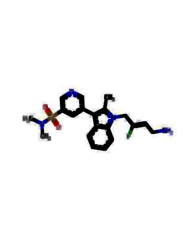 Cc1c(-c2cncc(S(=O)(=O)N(C)C)c2)c2ccccc2n1C/C(F)=C/CN